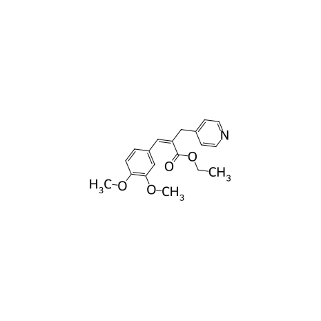 CCOC(=O)C(=Cc1ccc(OC)c(OC)c1)Cc1ccncc1